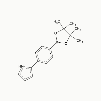 CC1(C)OB(c2ccc(-c3ccc[nH]3)cc2)OC1(C)C